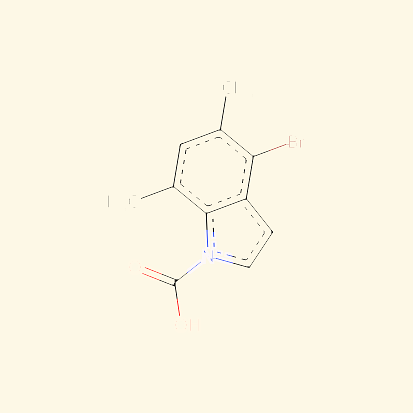 Cc1cc(C)c2c(ccn2C(=O)O)c1Br